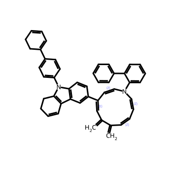 C=C1/C=C\C=C/N(c2ccccc2-c2ccccc2)/C=C\C(c2ccc3c(c2)c2c(n3-c3ccc(C4=CC=CCC4)cc3)CCC=C2)=C/C1=C